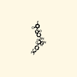 O=C(N[C@H]1CC[C@@]2(CCN(c3ccc(F)cc3Cl)C2=O)CC1)c1[nH]cnc1C(=O)N1CCN(CC(F)(F)F)CC1